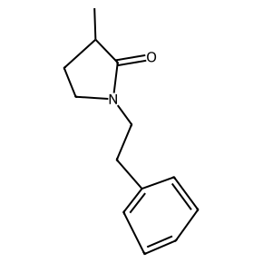 CC1CCN(CCc2ccccc2)C1=O